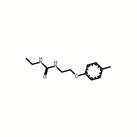 CCNC(=O)NCCOc1ccc(C)cc1